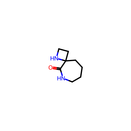 O=C1NCCCCC12CCN2